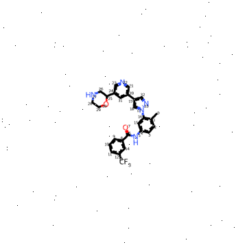 Cc1ccc(NC(=O)c2cccc(C(F)(F)F)c2)cc1-n1cc(-c2cncc(C3CNCCO3)c2)cn1